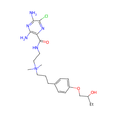 CCC(O)COc1ccc(CCC[N+](C)(C)CCNC(=O)c2nc(Cl)c(N)nc2N)cc1